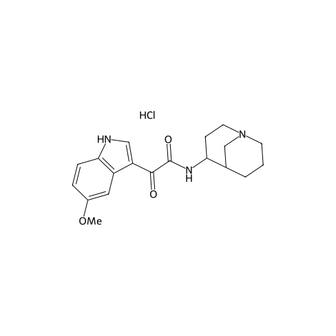 COc1ccc2[nH]cc(C(=O)C(=O)NC3CCN4CCCC3C4)c2c1.Cl